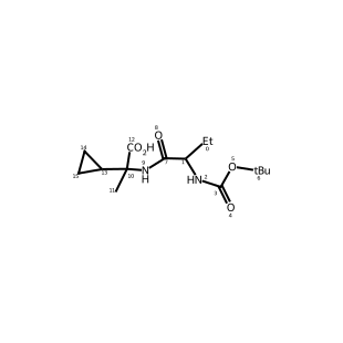 CCC(NC(=O)OC(C)(C)C)C(=O)NC(C)(C(=O)O)C1CC1